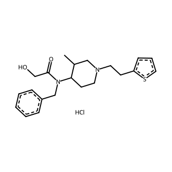 CC1CN(CCc2cccs2)CCC1N(Cc1ccccc1)C(=O)CO.Cl